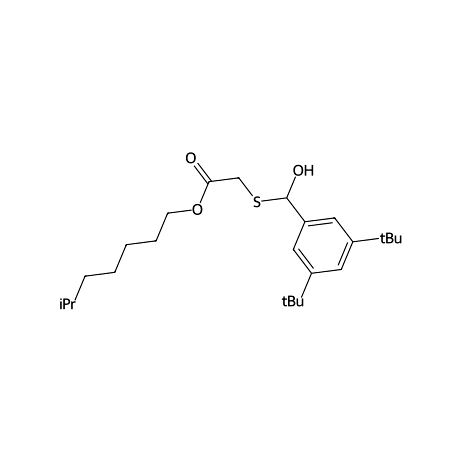 CC(C)CCCCCOC(=O)CSC(O)c1cc(C(C)(C)C)cc(C(C)(C)C)c1